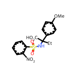 CCC(NS(=O)(=O)c1ccccc1[N+](=O)[O-])(C(=O)O)c1ccc(OC)cc1